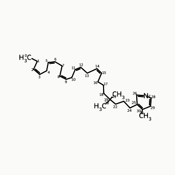 CC/C=C\C/C=C\C/C=C\C/C=C\C/C=C\CCCC(C)(C)CCCc1cnccc1C